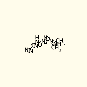 CC1CN(c2ccnc3c2ccn3CC(=O)Nc2ccc(-c3cnccn3)cn2)CC(C)N1